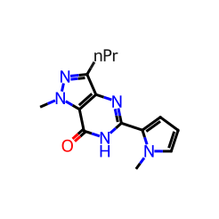 CCCc1nn(C)c2c(=O)[nH]c(-c3cccn3C)nc12